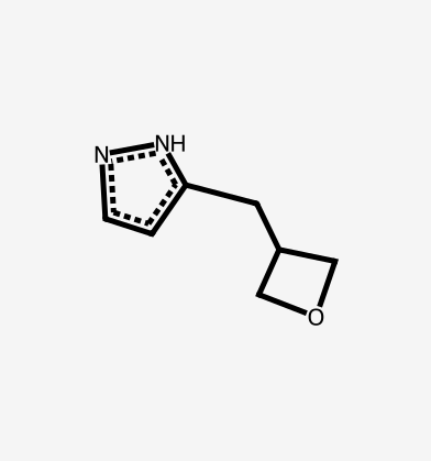 c1cc(CC2COC2)[nH]n1